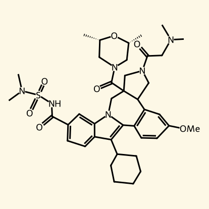 COc1ccc2c(c1)C1CN(C(=O)CN(C)C)CC1(C(=O)N1C[C@@H](C)O[C@@H](C)C1)Cn1c-2c(C2CCCCC2)c2ccc(C(=O)NS(=O)(=O)N(C)C)cc21